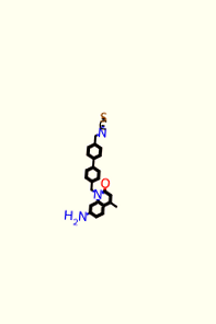 Cc1cc(=O)n(Cc2ccc(-c3ccc(CN=C=S)cc3)cc2)c2cc(N)ccc12